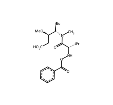 CC[C@H](C)[C@@H]([C@@H](CC(=O)O)OC)N(C)C(=O)[C@@H](NOC(=O)c1ccccc1)C(C)C